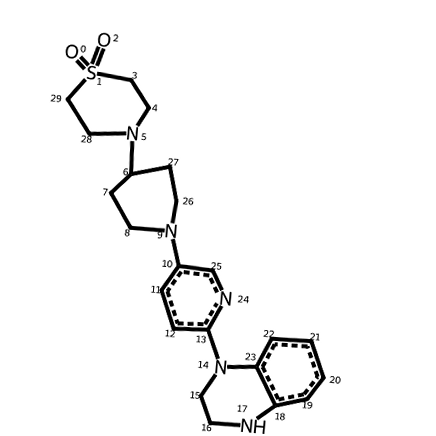 O=S1(=O)CCN(C2CCN(c3ccc(N4CCNc5ccccc54)nc3)CC2)CC1